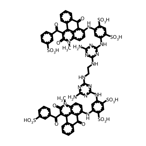 Cn1c(=O)c(C(=O)c2cccc(S(=O)(=O)O)c2)c2c3c(c(Nc4cc(Nc5nc(N)nc(NCCNc6nc(N)nc(Nc7cc(Nc8ccc9c%10c8C(=O)c8ccccc8-c%10c(C(=O)c8cccc(S(=O)(=O)O)c8)c(=O)n9C)c(S(=O)(=O)O)cc7S(=O)(=O)O)n6)n5)c(S(=O)(=O)O)cc4S(=O)(=O)O)ccc31)C(=O)c1ccccc1-2